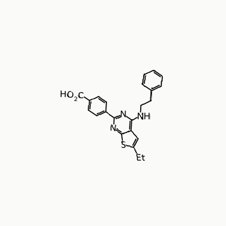 CCc1cc2c(NCCc3ccccc3)nc(-c3ccc(C(=O)O)cc3)nc2s1